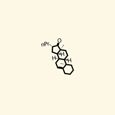 CCC[C@H]1C[C@H]2[C@@H]3CC=C4CCCC[C@]4(C)[C@H]3CC[C@]2(C)C1=O